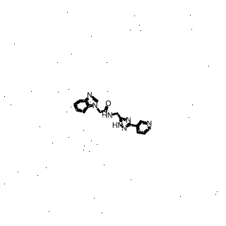 O=C(Cn1cnc2ccccc21)NCc1nc(-c2cccnc2)n[nH]1